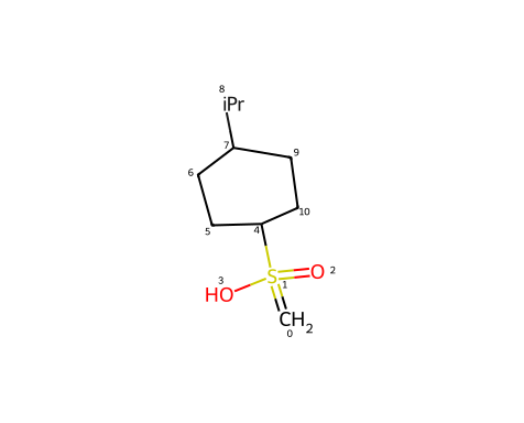 C=S(=O)(O)C1CCC(C(C)C)CC1